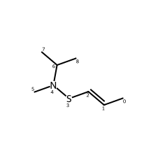 CC=CSN(C)C(C)C